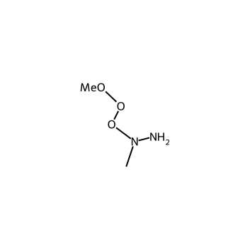 COOON(C)N